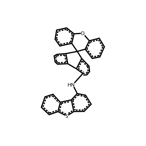 c1ccc2c(c1)Oc1ccccc1C21c2ccccc2-c2c(Nc3cccc4sc5ccccc5c34)cccc21